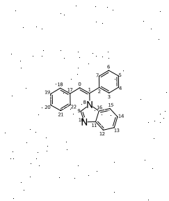 C(=C(\c1ccccc1)n1cnc2ccccc21)/c1ccccc1